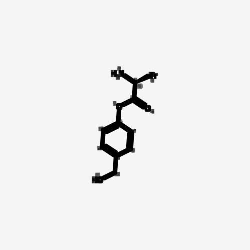 CC(C)[C@H](N)C(=O)Oc1ccc(CO)cc1